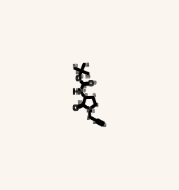 C#CCN1CC[C@H](NC(=O)OC(C)(C)C)C1=O